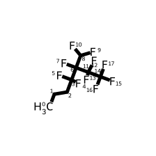 CCCC(F)(F)C(F)([C](F)F)C(F)(F)C(F)(F)F